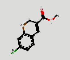 COC(=O)C1=Cc2ccc(Br)cc2SC1